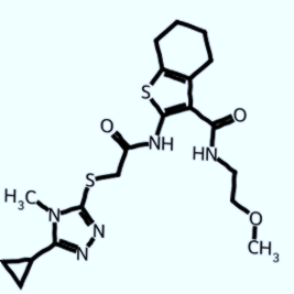 COCCNC(=O)c1c(NC(=O)CSc2nnc(C3CC3)n2C)sc2c1CCCC2